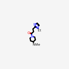 CCn1ccnc1CCC(=O)N1CCC(NC)CC1